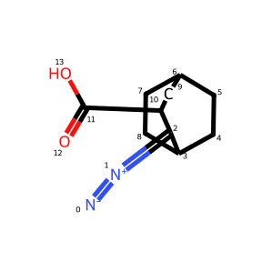 [N-]=[N+]=C1C2CCC(CC2)CC1C(=O)O